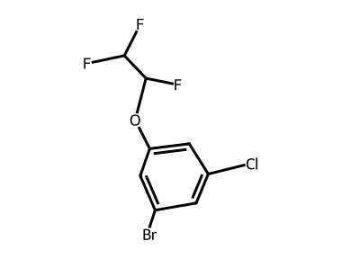 FC(F)C(F)Oc1cc(Cl)cc(Br)c1